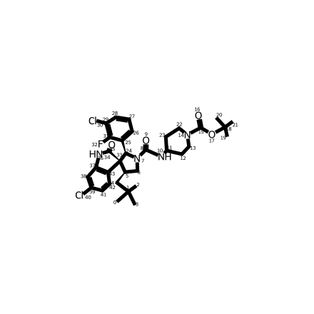 CC(C)(C)C[C@@H]1CN(C(=O)NC2CCN(C(=O)OC(C)(C)C)CC2)[C@H](c2cccc(Cl)c2F)[C@]12C(=O)Nc1cc(Cl)ccc12